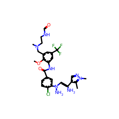 COc1c(CN(C)CCNC=O)cc(C(F)(F)F)cc1NC(=O)c1ccc(Cl)c(N(N)/C=C(\N)c2cnn(C)c2C)c1